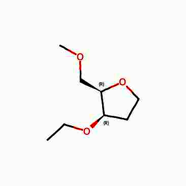 CCO[C@@H]1CCO[C@@H]1COC